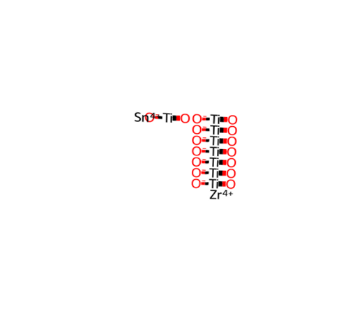 [O]=[Ti][O-].[O]=[Ti][O-].[O]=[Ti][O-].[O]=[Ti][O-].[O]=[Ti][O-].[O]=[Ti][O-].[O]=[Ti][O-].[O]=[Ti][O-].[Sn+4].[Zr+4]